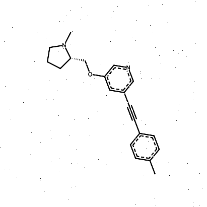 Cc1ccc(C#Cc2cncc(OC[C@@H]3CCCN3C)c2)cc1